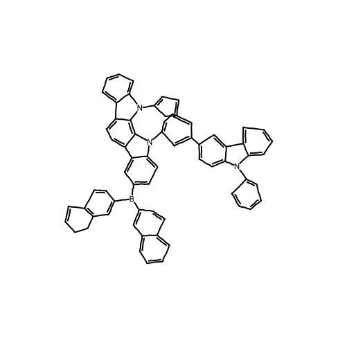 C1=CCC(n2c3ccccc3c3ccc4c5cc(B(c6ccc7c(c6)CCC=C7)c6ccc7ccccc7c6)ccc5n(-c5cccc(-c6ccc7c(c6)c6ccccc6n7-c6ccccc6)c5)c4c32)=C1